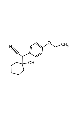 CCOc1ccc(C(C#N)C2(O)CCCCC2)cc1